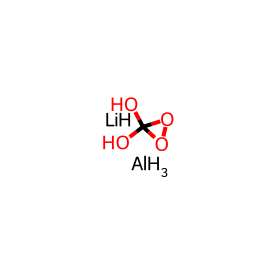 OC1(O)OO1.[AlH3].[LiH]